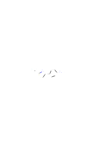 Nc1ccc(-c2csc(C(F)(F)F)n2)cc1